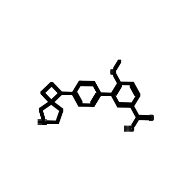 COc1ccc(C(=O)O)cc1-c1ccc(C2CCC23CCNC3)cc1